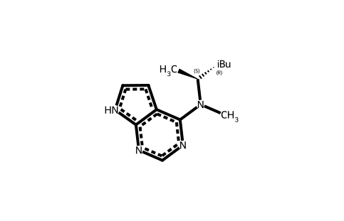 CC[C@@H](C)[C@H](C)N(C)c1ncnc2[nH]ccc12